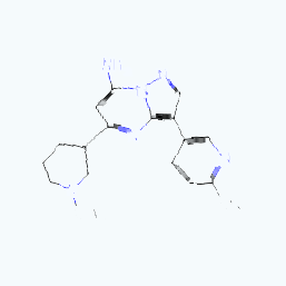 CN1CCCC(c2cc(N)n3ncc(-c4ccc(C#N)nc4)c3n2)C1